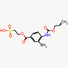 Bc1cc(C(=O)OCCS(=O)(=O)O)ccc1NC(=O)OCC=C